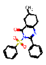 CC1CCc2nc(-c3ccccc3)n(S(=O)(=O)c3ccccc3)c(=O)c2C1